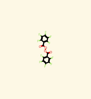 O=C(OOC(=O)c1c(F)c(F)c(F)c(F)c1F)c1c(F)c(F)c(F)c(F)c1F